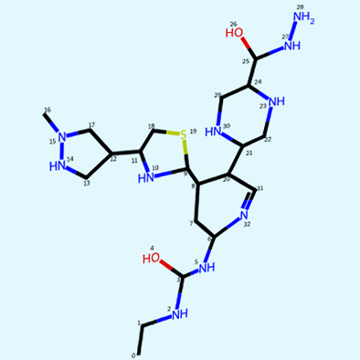 CCNC(O)NC1CC(C2NC(C3CNN(C)C3)CS2)C(C2CNC(C(O)NN)CN2)C=N1